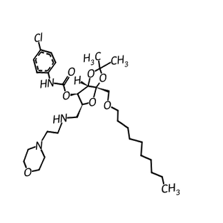 CCCCCCCCCCOC[C@@]12O[C@@H](CNCCN3CCOCC3)[C@@H](OC(=O)Nc3ccc(Cl)cc3)[C@@H]1OC(C)(C)O2